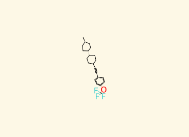 C[C@H]1CC[C@H](C2CCC(C#Cc3ccc(OC(F)(F)F)cc3)CC2)CC1